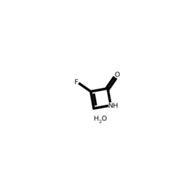 O.O=C1NC=C1F